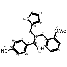 COc1ccccc1CN(Cc1cccs1)C(O)c1ccc(C#N)cc1